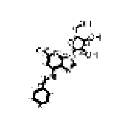 OC[C@H]1OC(n2cnc3c(NCc4ccccc4)cc(Cl)nc32)C(O)C1O